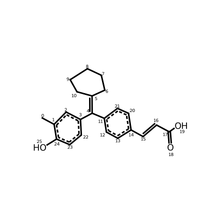 Cc1cc(C(=C2CCCCC2)c2ccc(/C=C/C(=O)O)cc2)ccc1O